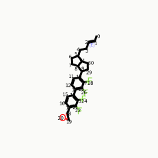 C/C=C/CCC1CCC2C(c3ccc(-c4ccc(C5CO5)c(F)c4F)c(F)c3F)CCC12